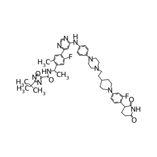 Cc1cc(-c2cc(Nc3ccc(N4CCN(CCC5CCN(c6ccc(C7CCC(=O)NC7=O)c(F)c6)CC5)CC4)cc3)ncn2)c(F)cc1[C@@H](C)NC(=O)c1nc(C(C)(C)C)no1